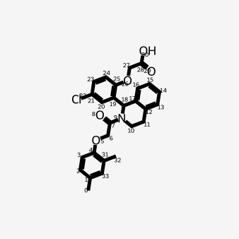 Cc1ccc(OCC(=O)N2CCc3ccccc3C2c2cc(Cl)ccc2OCC(=O)O)c(C)c1